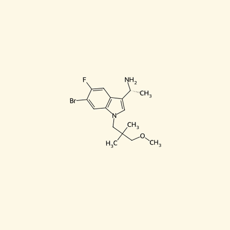 COCC(C)(C)Cn1cc([C@@H](C)N)c2cc(F)c(Br)cc21